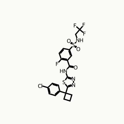 O=C(Nc1nnc(C2(c3ccc(Cl)cc3)CCC2)s1)c1cc(S(=O)(=O)NCC(F)(F)F)ccc1F